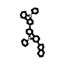 c1ccc(-n2c3ccccc3c3cc(-c4ccc5c(c4)c4ccc(-c6ccc7ccccc7c6)cc4n5-c4ccccc4)ccc32)cc1